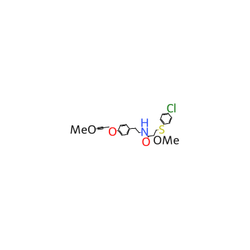 COC#CCOc1ccc(CCNC(=O)C(CSc2ccc(Cl)cc2)OC)cc1